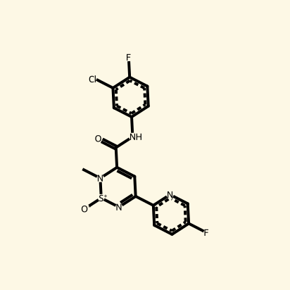 CN1C(C(=O)Nc2ccc(F)c(Cl)c2)=CC(c2ccc(F)cn2)=N[S+]1[O-]